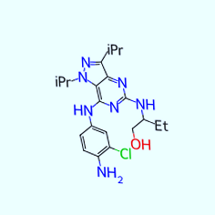 CCC(CO)Nc1nc(Nc2ccc(N)c(Cl)c2)c2c(n1)c(C(C)C)nn2C(C)C